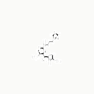 Cc1cnc(NCCCn2cncn2)nc1/C(C#N)=C1/NC(C(C)(C)C)=CS1